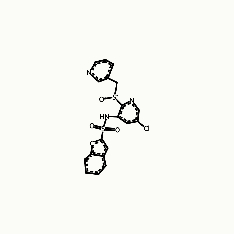 O=S(=O)(Nc1cc(Cl)cnc1[S+]([O-])Cc1cccnc1)c1cc2ccccc2o1